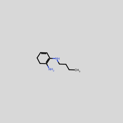 CCCCNC1=C(N)CCC=C1